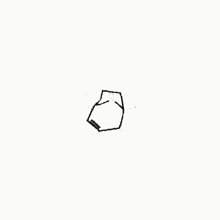 [C]1=C[C@H]2CC[C@@H](C1)N2